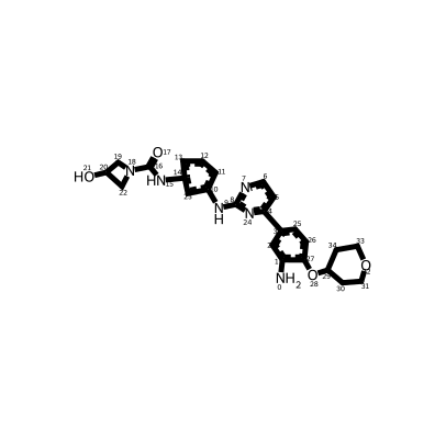 Nc1cc(-c2ccnc(Nc3cccc(NC(=O)N4CC(O)C4)c3)n2)ccc1OC1CCOCC1